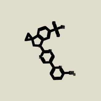 CCS(=O)(=O)c1ccc2c(c1)N(c1ncc(-c3cccc(C)n3)cn1)CC21CC1